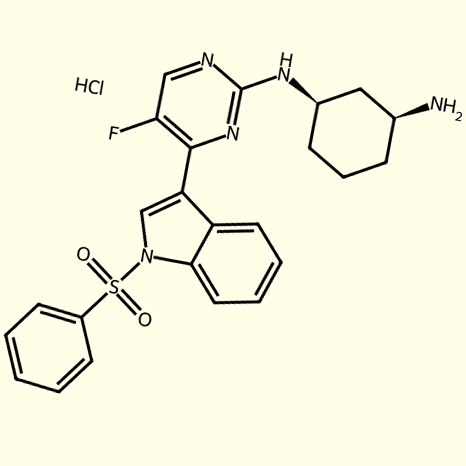 Cl.N[C@H]1CCC[C@@H](Nc2ncc(F)c(-c3cn(S(=O)(=O)c4ccccc4)c4ccccc34)n2)C1